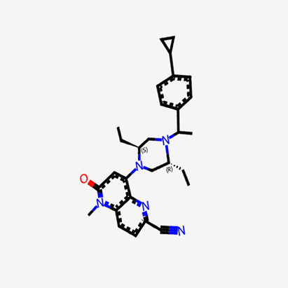 CC[C@H]1CN(C(C)c2ccc(C3CC3)cc2)[C@H](CC)CN1c1cc(=O)n(C)c2ccc(C#N)nc12